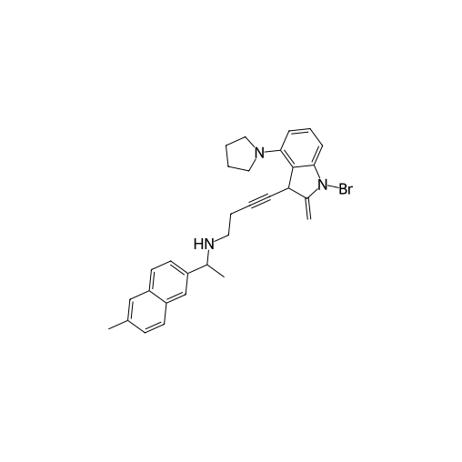 C=C1C(C#CCCNC(C)c2ccc3cc(C)ccc3c2)c2c(N3CCCC3)cccc2N1Br